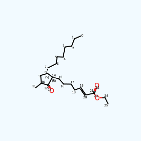 CCCCCCCC[C@H]1CC(C)C(=O)[C@@H]1CCCCC=CC(=O)OCC